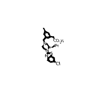 Cc1cc(CC(=O)O)cc(CN2CCN(c3nc4ccc(Cl)cc4s3)[C@H](CC(C)C)C2)c1